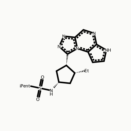 CCCC(C)S(=O)(=O)N[C@H]1C[C@@H](CC)[C@@H](c2nnc3cnc4[nH]ccc4n23)C1